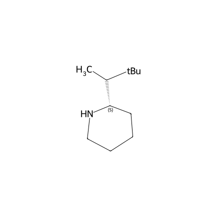 CC([C@@H]1CCCCN1)C(C)(C)C